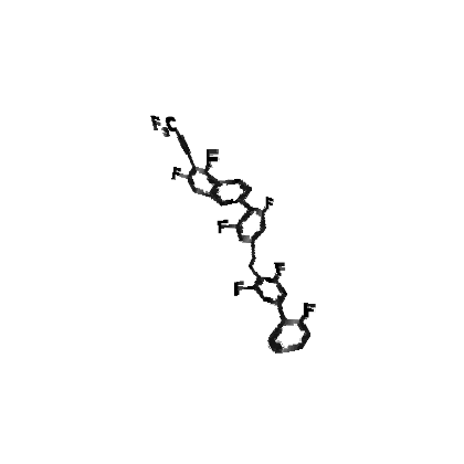 Fc1ccccc1-c1cc(F)c(CCc2cc(F)c(-c3ccc4c(F)c(C#CC(F)(F)F)c(F)cc4c3)c(F)c2)c(F)c1